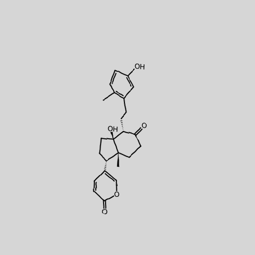 Cc1ccc(O)cc1CC[C@@H]1C(=O)CC[C@]2(C)[C@H](c3ccc(=O)oc3)CC[C@]12O